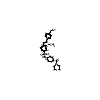 Cn1c(-c2ccc(CO)cc2)cc2ccc(S(=O)(=O)N[C@H]3CC[C@H](C(=O)N4CCOCC4)CC3)cc21